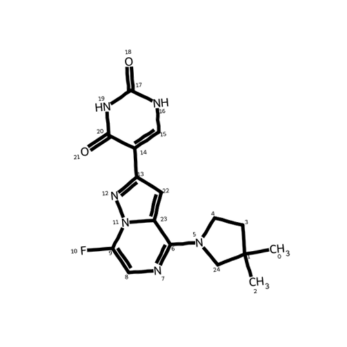 CC1(C)CCN(c2ncc(F)n3nc(-c4c[nH]c(=O)[nH]c4=O)cc23)C1